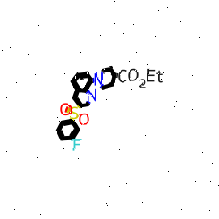 CCOC(=O)C1CCN(c2cccc3cc(S(=O)(=O)c4cccc(F)c4)cnc23)CC1